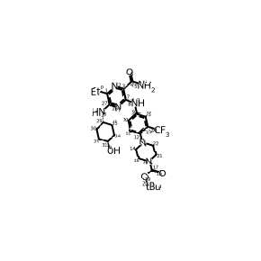 CCc1nc(C(N)=O)c(Nc2ccc(N3CCN(C(=O)OC(C)(C)C)CC3)c(C(F)(F)F)c2)nc1N[C@H]1CC[C@H](O)CC1